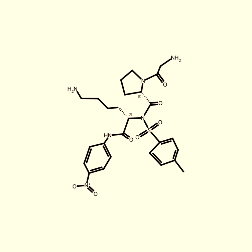 Cc1ccc(S(=O)(=O)N(C(=O)[C@@H]2CCCN2C(=O)CN)[C@@H](CCCCN)C(=O)Nc2ccc([N+](=O)[O-])cc2)cc1